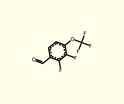 O=Cc1ccc(OC(F)(F)F)c(F)c1F